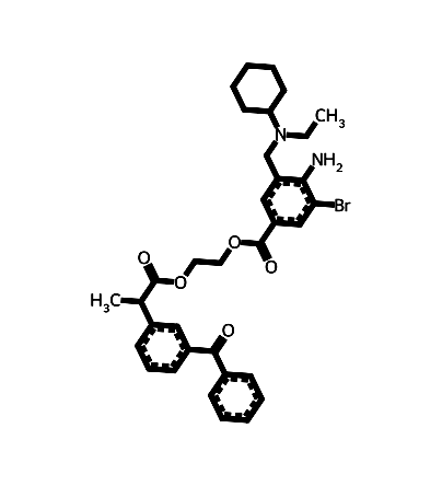 CCN(Cc1cc(C(=O)OCCOC(=O)C(C)c2cccc(C(=O)c3ccccc3)c2)cc(Br)c1N)C1CCCCC1